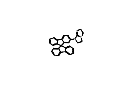 c1ccc2c(c1)-c1ccccc1C21c2ccccc2-c2ccc(N3CCN4CCN=C43)cc21